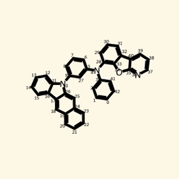 c1ccc(N(c2cccc(-n3c4ccccc4c4cc5ccccc5cc43)c2)c2cccc3c2oc2ncccc23)cc1